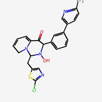 O=C1C2=CC=CCN2C(Cc2cnc(Cl)s2)N(O)C1c1cccc(-c2ccc(C(F)(F)F)nc2)c1